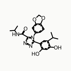 CC(C)NC(=O)c1nnc(-c2cc(C(C)C)c(O)cc2O)n1-c1ccc2c(c1)OCO2